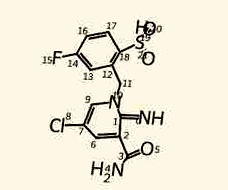 N=c1c(C(N)=O)cc(Cl)cn1Cc1cc(F)ccc1[SH](=O)=O